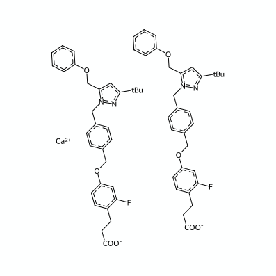 CC(C)(C)c1cc(COc2ccccc2)n(Cc2ccc(COc3ccc(CCC(=O)[O-])c(F)c3)cc2)n1.CC(C)(C)c1cc(COc2ccccc2)n(Cc2ccc(COc3ccc(CCC(=O)[O-])c(F)c3)cc2)n1.[Ca+2]